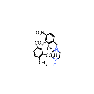 Cc1ccc(C(=O)O)cc1C(=O)O.O=[N+]([O-])c1ccc(CN2CCNCC2)c(C(F)(F)F)c1